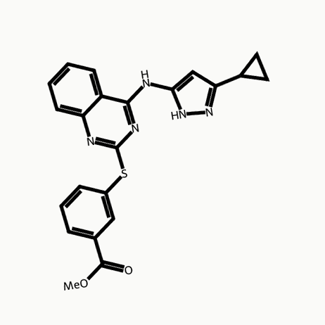 COC(=O)c1cccc(Sc2nc(Nc3cc(C4CC4)n[nH]3)c3ccccc3n2)c1